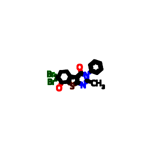 Cc1nc2sc3c(c2c(=O)n1-c1ccccc1)CCC(Br)(Br)C3=O